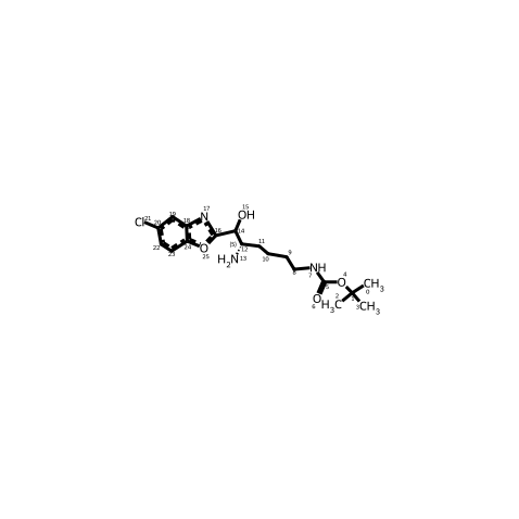 CC(C)(C)OC(=O)NCCCC[C@H](N)C(O)c1nc2cc(Cl)ccc2o1